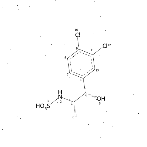 C[C@H](NS(=O)(=O)O)[C@@H](O)c1ccc(Cl)c(Cl)c1